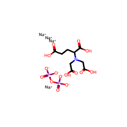 O=C(O)CCC(C(=O)O)N(CC(=O)O)CC(=O)O.O=P([O-])([O-])OP(=O)([O-])[O-].[Na+].[Na+].[Na+].[Na+]